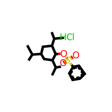 CC(C)C1CC(C(C)C)C(OS(=O)(=O)c2ccccc2)C(C(C)C)C1.Cl